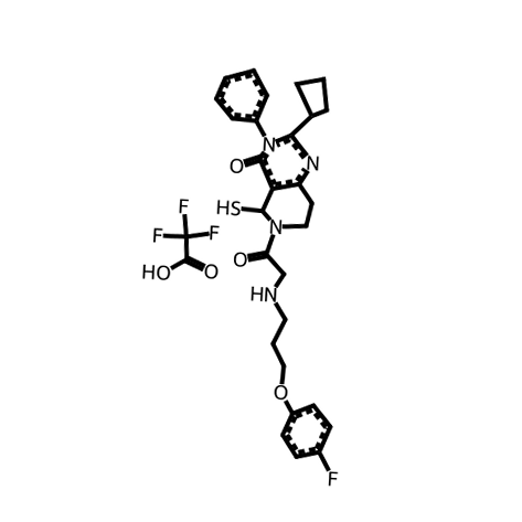 O=C(CNCCCOc1ccc(F)cc1)N1CCc2nc(C3CCC3)n(-c3ccccc3)c(=O)c2C1S.O=C(O)C(F)(F)F